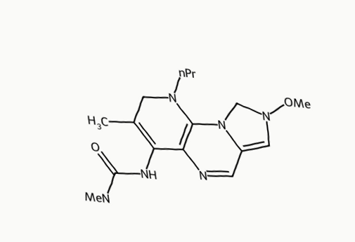 CCCN1CC(C)=C(NC(=O)NC)C2=C1N1CN(OC)C=C1C=N2